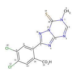 Cn1cnc2nc(-c3cc(Cl)c(Cl)cc3C(=O)O)nn2c1=S